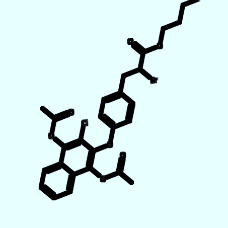 CCCCOC(=O)C(Br)Cc1ccc(Oc2c(Cl)c(OC(C)=O)c3ccccc3c2OC(C)=O)cc1